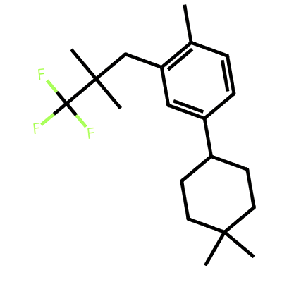 Cc1ccc(C2CCC(C)(C)CC2)cc1CC(C)(C)C(F)(F)F